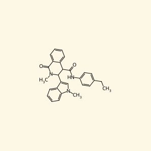 CCc1ccc(NC(=O)C2c3ccccc3C(=O)N(C)C2c2cn(C)c3ccccc23)cc1